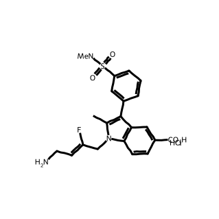 CNS(=O)(=O)c1cccc(-c2c(C)n(C/C(F)=C/CN)c3ccc(C(=O)O)cc23)c1.Cl